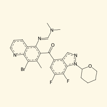 Cc1c(C(=O)c2cc(F)c(F)c3c2cnn3C2CCCCO2)c(N=CN(C)C)c2cccnc2c1Br